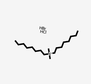 Br.CCCCCCCC[N+](C)(C)CCCCCCCC.Cl